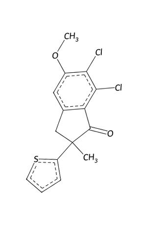 COc1cc2c(c(Cl)c1Cl)C(=O)C(C)(c1cccs1)C2